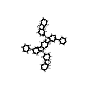 c1ccc(-c2ccc3c(c2)c2cc4c(cc2n3-c2ccc3oc5ccccc5c3c2)c2cc(-c3ccccc3)ccc2n4-c2ccc3oc4ccccc4c3c2)cc1